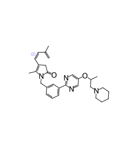 C=C(C)/C=C\C1=C(C)N(Cc2cccc(-c3ncc(OC(C)CN4CCCCC4)cn3)c2)C(=O)C1